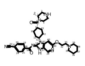 C[C@@H]1CNCCN1C(=O)[C@H]1CC[C@@H](n2/c(=N/C(=O)c3ccc(C#N)cc3)[nH]c3cnc(OCCN4CCCCC4)cc32)CC1